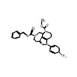 CC(C)(C)OC(=O)N1CCc2c3c(nn2-c2ccc(C(F)(F)F)cc2)CCN(C(=O)OCc2ccccc2)CC31